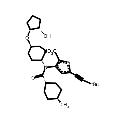 CC(C)(C)C#Cc1cc(N(C(=O)[C@H]2CC[C@H](C)CC2)[C@H]2CC[C@H](O[C@H]3CCC[C@@H]3O)CC2)c(C(=O)O)s1